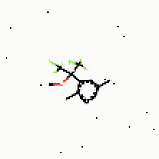 COC(c1cc(C)ccc1C)(C(F)(F)F)C(F)(F)F